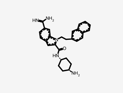 N=C(N)c1ccc2cc(C(=O)N[C@H]3CC[C@H](N)CC3)n(CCc3ccc4ccccc4c3)c2c1